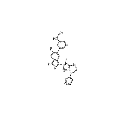 CC(C)Nc1cncc(-c2cc3c(-c4nc5c(-c6ccoc6)ccnc5[nH]4)n[nH]c3cc2F)c1